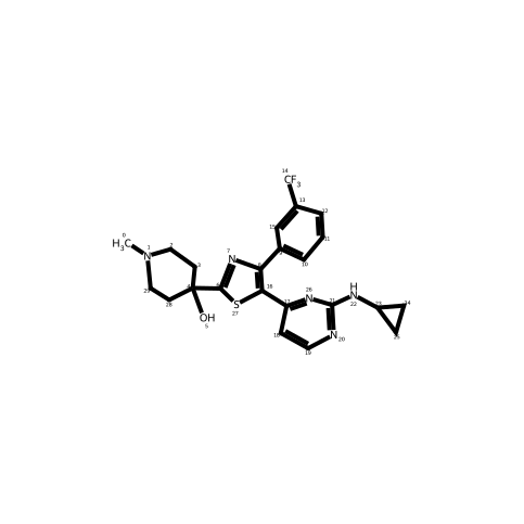 CN1CCC(O)(c2nc(-c3cccc(C(F)(F)F)c3)c(-c3ccnc(NC4CC4)n3)s2)CC1